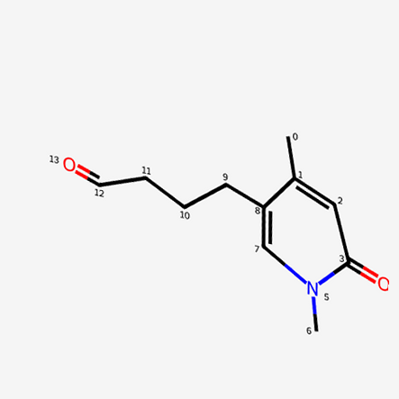 Cc1cc(=O)n(C)cc1CCCC=O